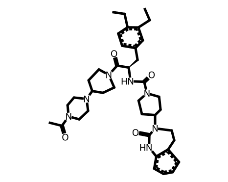 CCc1ccc(C[C@@H](NC(=O)N2CCC(N3CCc4ccccc4NC3=O)CC2)C(=O)N2CCC(N3CCN(C(C)=O)CC3)CC2)cc1CC